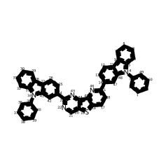 c1ccc(-n2c3ccccc3c3ccc(-c4ccc5sc6cnc(-c7ccc8c9ccccc9n(-c9ccccc9)c8c7)nc6c5n4)cc32)cc1